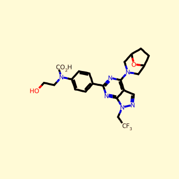 O=C(O)N(CCO)c1ccc(-c2nc(N3CC4CCC(C3)O4)c3cnn(CC(F)(F)F)c3n2)cc1